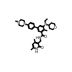 CCN(c1cc(-c2ccc(N3CCN(C)CC3)cc2)cc(C(=O)NCc2c(C)cc(C)[nH]c2=O)c1C)C1CCOCC1